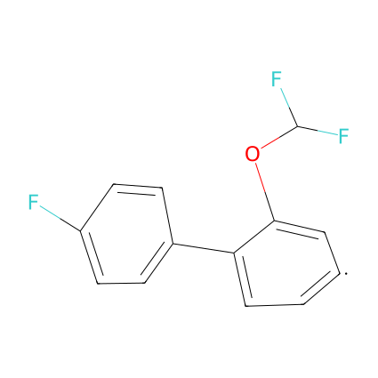 Fc1ccc(-c2cc[c]cc2OC(F)F)cc1